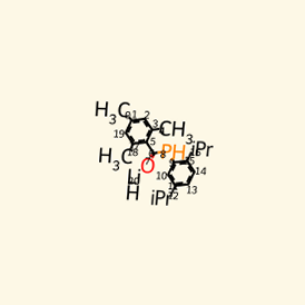 Cc1cc(C)c(C(=O)Pc2cc(C(C)C)ccc2C(C)C)c(C)c1.[LiH]